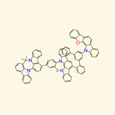 CC1(C)c2cccc3c4ccccc4n(c23)-c2ccc(-c3ccc4c(c3)sn3c5ccccc5c5c(-c6ccccc6-c6cc(-c7ccccc7)cc(-n7c8ccccc8c8ccc9c%10ccccc%10oc9c87)c6)cc6c7ccccc7n4c6c53)c3c4ccccc4n1c23